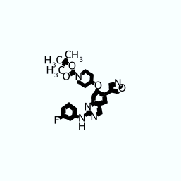 CC(C)(C)OC(=O)N1CCC(Oc2cc3nc(Nc4cccc(F)c4)ncc3cc2-c2cnoc2)CC1